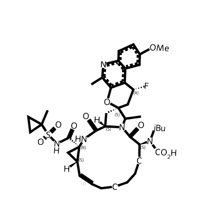 CCC(C)N(C(=O)O)[C@H]1CCCCC/C=C\[C@@H]2C[C@@]2(C(=O)NS(=O)(=O)C2(C)CC2)NC(=O)[C@@H]2C[C@]3(C[C@@H](F)c4c(c(C)nc5ccc(OC)cc45)O3)C(C)N2C1=O